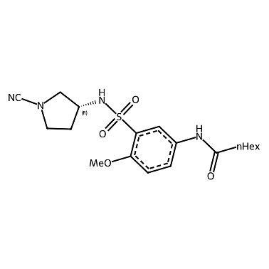 CCCCCCC(=O)Nc1ccc(OC)c(S(=O)(=O)N[C@@H]2CCN(C#N)C2)c1